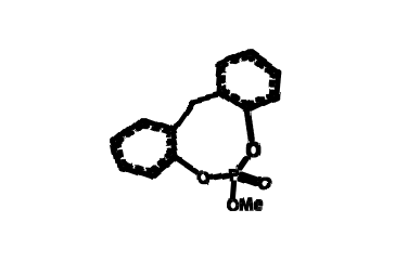 COP1(=O)Oc2ccccc2Cc2ccccc2O1